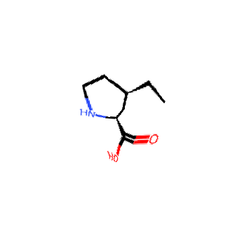 CC[C@@H]1CCN[C@@H]1C(=O)O